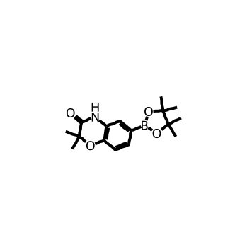 CC1(C)Oc2ccc(B3OC(C)(C)C(C)(C)O3)cc2NC1=O